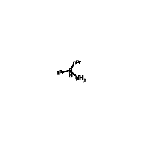 CCC[SiH](N)CCC